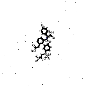 COC(=O)Cc1cccc(/C(Nc2ccc(N(CC(=O)N(C)C)S(C)(=O)=O)cc2)=C2/C(=O)Nc3cc(F)ccc32)c1